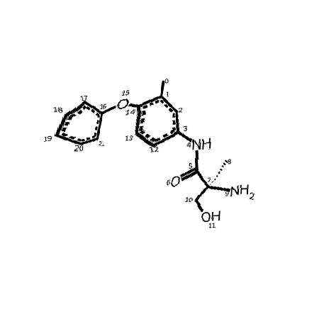 Cc1cc(NC(=O)[C@@](C)(N)CO)ccc1Oc1ccccc1